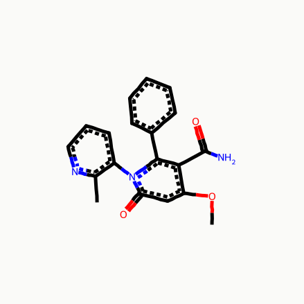 COc1cc(=O)n(-c2cccnc2C)c(-c2ccccc2)c1C(N)=O